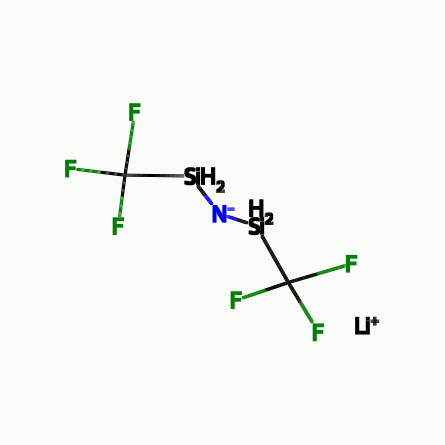 FC(F)(F)[SiH2][N-][SiH2]C(F)(F)F.[Li+]